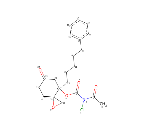 CC(=O)N(Cl)C(=O)O[C@]1(CCCCCc2ccccc2)CC(=O)CC[C@]12CO2